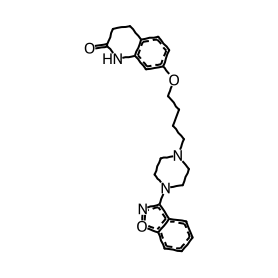 O=C1CCc2ccc(OCCCCN3CCN(c4noc5ccccc45)CC3)cc2N1